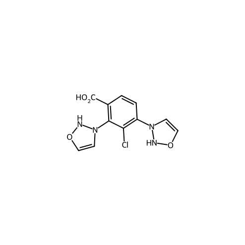 O=C(O)c1ccc(N2C=CON2)c(Cl)c1N1C=CON1